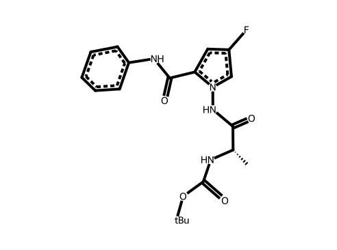 C[C@H](NC(=O)OC(C)(C)C)C(=O)Nn1cc(F)cc1C(=O)Nc1ccccc1